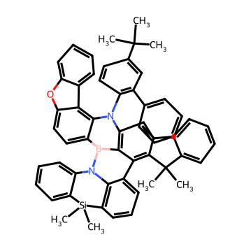 CC(C)(C)c1ccc(N2c3cc4c(c5c3B(c3ccc6oc7ccccc7c6c32)N2c3ccccc3[Si](C)(C)c3cccc-5c32)C(C)(C)c2ccccc2-4)c(-c2ccccc2)c1